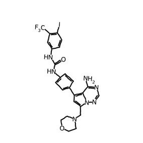 Nc1ncnn2c(CN3CCOCC3)cc(-c3ccc(NC(=O)Nc4ccc(I)c(C(F)(F)F)c4)cc3)c12